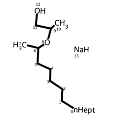 CCCCCCCCCCCCC(C)OC(C)CO.[NaH]